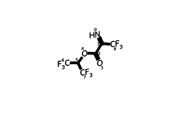 N=C(C(=O)OC(C(F)(F)F)C(F)(F)F)C(F)(F)F